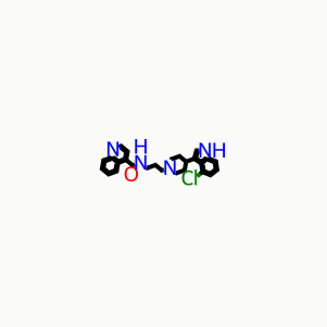 O=C(NCCCN1CCC(c2c[nH]c3cccc(Cl)c23)CC1)c1ccnc2ccccc12